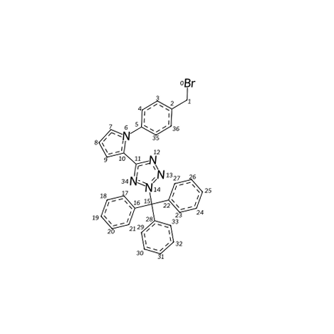 BrCc1ccc(-n2cccc2-c2nnn(C(c3ccccc3)(c3ccccc3)c3ccccc3)n2)cc1